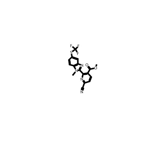 COC(=O)c1ccc(C#N)nc1-c1nc2cc(SC(F)(F)F)ccc2n1C